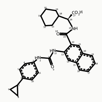 O=C(Nc1ccc(C2CC2)cc1)Nc1cc2ccccc2cc1C(=O)N[C@H](C(=O)O)C1CCCCC1